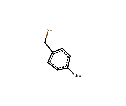 CC(C)(C)c1ccc(CS)cc1